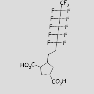 O=C(O)C1CC(CCC(F)(F)C(F)(F)C(F)(F)C(F)(F)C(F)(F)C(F)(F)F)C(C(=O)O)C1